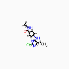 C=Cc1cnc(Cl)nc1Nc1ccc(C(=O)NC2CC2)cc1